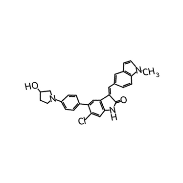 Cn1ccc2cc(/C=C3\C(=O)Nc4cc(Cl)c(-c5ccc(N6CCC(O)C6)cc5)cc43)ccc21